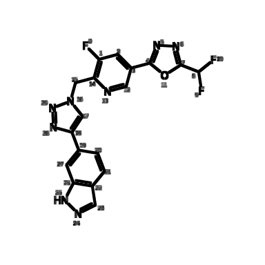 Fc1cc(-c2nnc(C(F)F)o2)cnc1Cn1cc(-c2ccc3cn[nH]c3c2)nn1